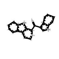 O=C(c1c[nH]c2ccccc12)c1nccc2c1[nH]c1ccccc12